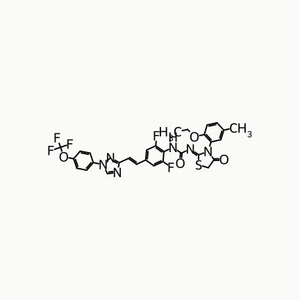 CCOc1ccc(C)cc1N1C(=O)CS/C1=N\C(=O)Nc1c(F)cc(/C=C/c2ncn(-c3ccc(OC(F)(F)F)cc3)n2)cc1F